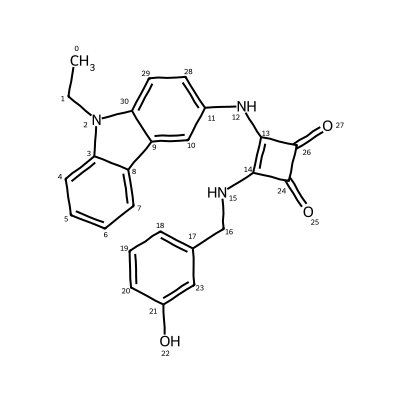 CCn1c2ccccc2c2cc(Nc3c(NCc4cccc(O)c4)c(=O)c3=O)ccc21